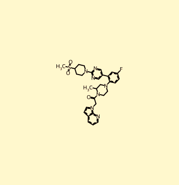 CC1CN(c2ccc(F)cc2-c2cnc(N3CCC(S(C)(=O)=O)CC3)nc2)CCN1C(=O)Cn1ccc2cccnc21